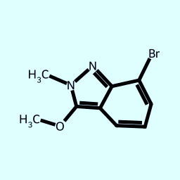 COc1c2cccc(Br)c2nn1C